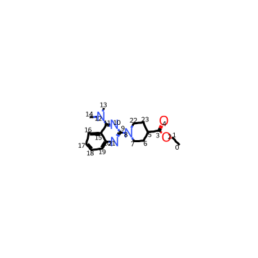 CCOC(=O)C1CCN(c2nc(N(C)C)c3ccccc3n2)CC1